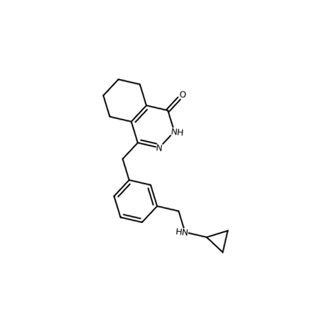 O=c1[nH]nc(Cc2cccc(CNC3CC3)c2)c2c1CCCC2